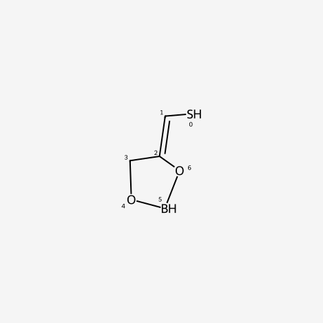 SC=C1COBO1